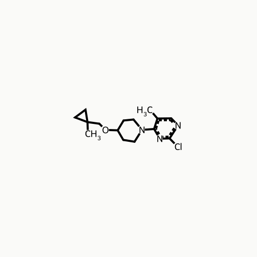 Cc1cnc(Cl)nc1N1CCC(OCC2(C)CC2)CC1